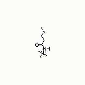 CSCCC(=O)N[N+](C)(C)C